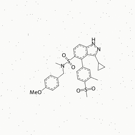 COc1ccc(CN(C)S(=O)(=O)c2ccc3[nH]nc(C4CC4)c3c2-c2ccc(S(C)(=O)=O)c(C)c2)cc1